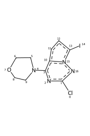 Clc1nc(N2CCOCC2)c2ccc(I)n2n1